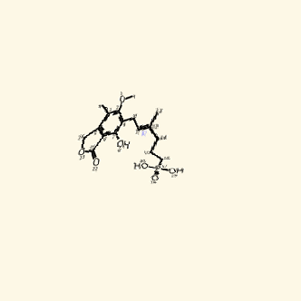 COc1c(C)c2c(c(O)c1C/C=C(\C)CCCP(=O)(O)O)C(=O)OC2